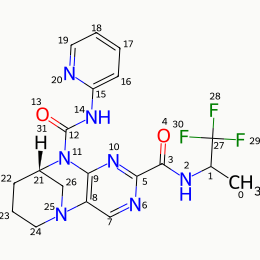 CC(NC(=O)c1ncc2c(n1)N(C(=O)Nc1ccccn1)[C@H]1CCCN2C1)C(F)(F)F